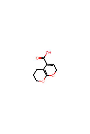 O=C(O)C1=CCOC2=C1CCCO2